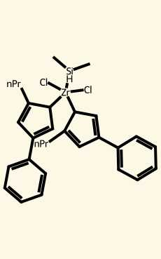 CCCC1=CC(c2ccccc2)=C[CH]1[Zr]([Cl])([Cl])([CH]1C=C(c2ccccc2)C=C1CCC)[SiH](C)C